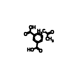 CC(C)=O.O=C(O)c1cccc(C(=O)O)c1